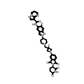 O=C1CCC(N2C(=O)c3ccc(N4CC(F)(CN5CCC(n6cc7cc(NC(=O)c8cnn9cccnc89)c(F)cc7n6)CC5)C4)cc3C2=O)C(=O)N1